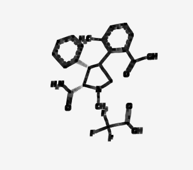 Cc1cccc(C(=O)O)c1C1CN(C)[C@H](C(N)=O)[C@@H]1c1ccccc1.O=C(O)C(F)(F)F